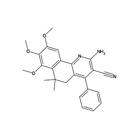 COc1cc2c(c(OC)c1OC)C(C)(C)Cc1c-2nc(N)c(C#N)c1-c1ccccc1